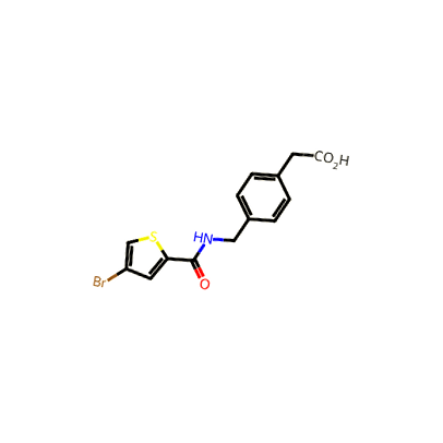 O=C(O)Cc1ccc(CNC(=O)c2cc(Br)cs2)cc1